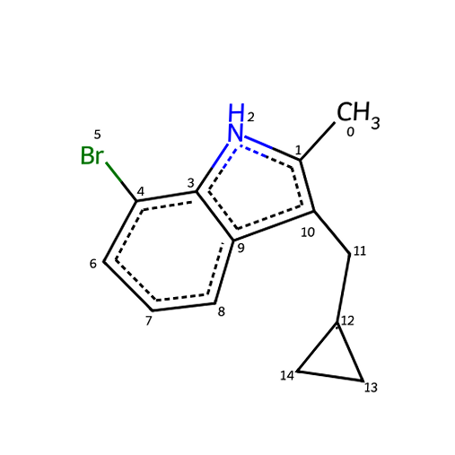 Cc1[nH]c2c(Br)cccc2c1C[C]1CC1